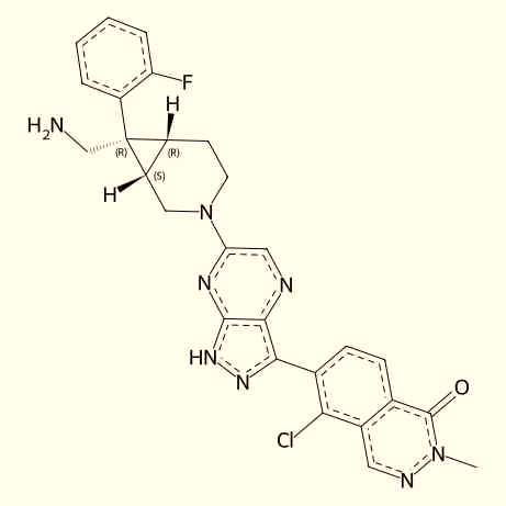 Cn1ncc2c(Cl)c(-c3n[nH]c4nc(N5CC[C@@H]6[C@H](C5)[C@@]6(CN)c5ccccc5F)cnc34)ccc2c1=O